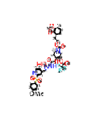 COc1ccc(S(=O)(=O)c2cc(CN(O)NC(=O)CC3CCN(C(=O)OCCc4cccc5c4OCO5)CC3)ccn2)cc1.O=C(O)C(F)(F)F